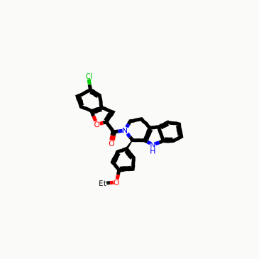 CCOc1ccc([C@@H]2c3[nH]c4ccccc4c3CCN2C(=O)c2cc3cc(Cl)ccc3o2)cc1